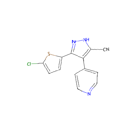 N#Cc1[nH]nc(-c2ccc(Cl)s2)c1-c1ccncc1